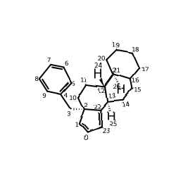 C1=C[C@@]2(Cc3ccccc3)CC[C@H]3[C@@H](CCC4CCCC[C@@H]43)C2=C1